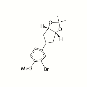 COc1ccc(C2C[C@@H]3OC(C)(C)O[C@@H]3C2)cc1Br